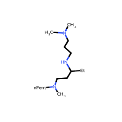 CCCCCN(C)CCC(CC)NCCCN(C)C